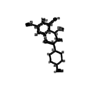 CCC(NC(=O)C1CCC(C(C)(C)C)CC1)c1nnc(C(C)(C)C)[nH]c1=O